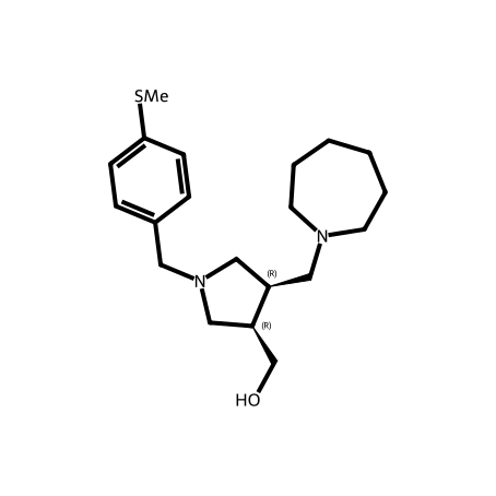 CSc1ccc(CN2C[C@@H](CN3CCCCCC3)[C@@H](CO)C2)cc1